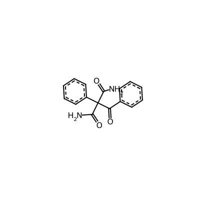 NC(=O)C(C(N)=O)(C(=O)c1ccccc1)c1ccccc1